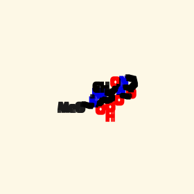 COCCN1CN(C)n2cc(C(=O)N3CCOc4cccnc43)c(=O)c(O)c2C1=O